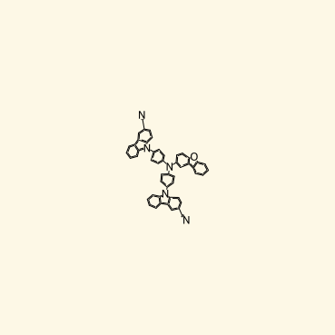 N#Cc1ccc2c(c1)c1ccccc1n2-c1ccc(N(c2ccc(-n3c4ccccc4c4cc(C#N)ccc43)cc2)c2ccc3oc4ccccc4c3c2)cc1